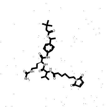 CC(OC(=O)CC(C)(C)C)c1ccc(NC(=O)[C@H](CCCNC(N)=O)NC(=O)C(NC(=O)CCCCCN2C(=O)C=CC2=O)C(C)C)cc1